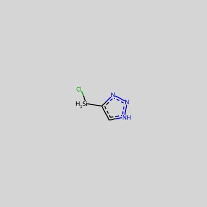 Cl[SiH2]c1c[nH]nn1